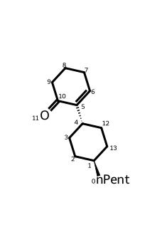 CCCCC[C@H]1CC[C@H](C2=CCCCC2=O)CC1